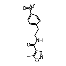 Cc1oncc1C(=O)NCCc1ccc([N+](=O)[O-])cc1